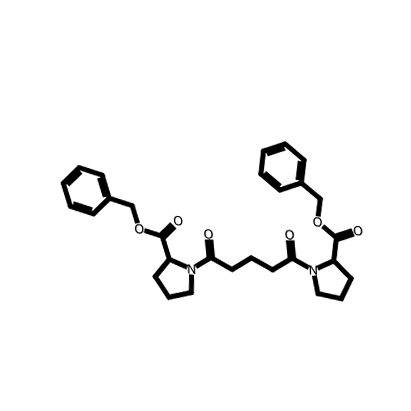 O=C(OCc1ccccc1)C1CCCN1C(=O)CCCC(=O)N1CCCC1C(=O)OCc1ccccc1